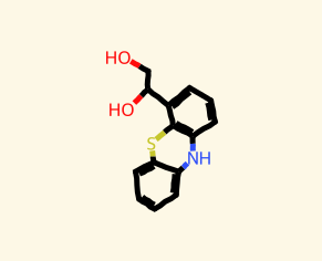 OCC(O)c1cccc2c1Sc1ccccc1N2